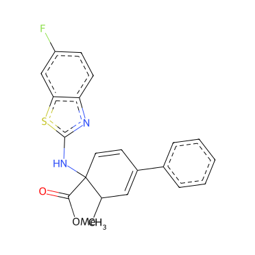 COC(=O)C1(Nc2nc3ccc(F)cc3s2)C=CC(c2ccccc2)=CC1C